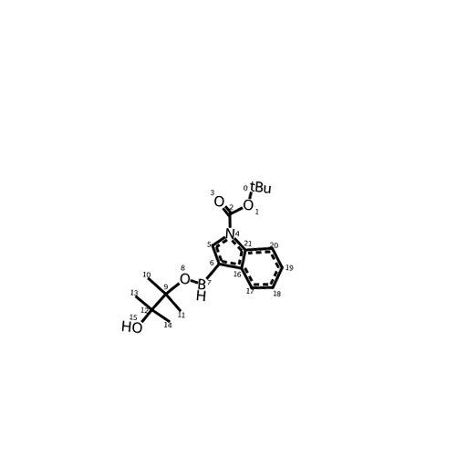 CC(C)(C)OC(=O)n1cc(BOC(C)(C)C(C)(C)O)c2ccccc21